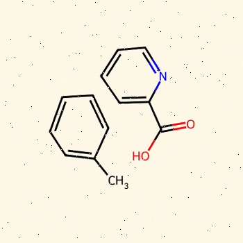 Cc1ccccc1.O=C(O)c1ccccn1